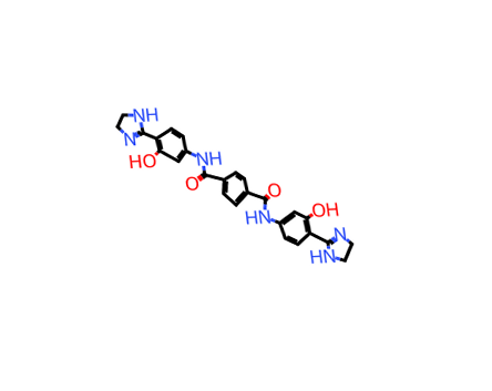 O=C(Nc1ccc(C2=NCCN2)c(O)c1)c1ccc(C(=O)Nc2ccc(C3=NCCN3)c(O)c2)cc1